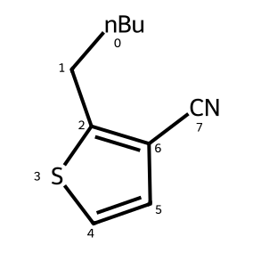 CCCCCc1sccc1C#N